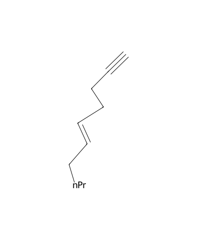 C#CCCC=CCCCC